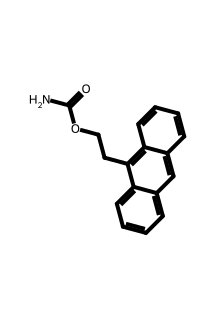 NC(=O)OCCc1c2ccccc2cc2ccccc12